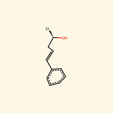 CC[C@@H](O)CC=Cc1ccccc1